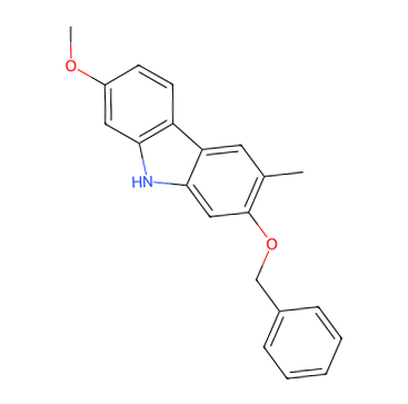 COc1ccc2c(c1)[nH]c1cc(OCc3ccccc3)c(C)cc12